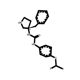 O=C(Nc1ccc(OC(F)F)cc1)N[C@@]1(Cc2ccccc2)CCNC1